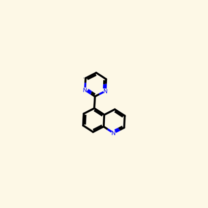 [c]1ccnc(-c2cccc3ncccc23)n1